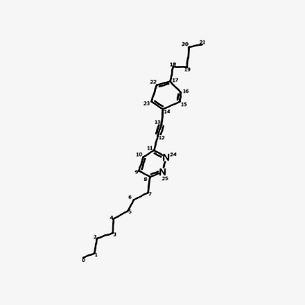 CCCCCCCCc1ccc(C#Cc2ccc(CCCC)cc2)nn1